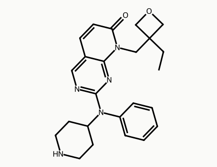 CCC1(Cn2c(=O)ccc3cnc(N(c4ccccc4)C4CCNCC4)nc32)COC1